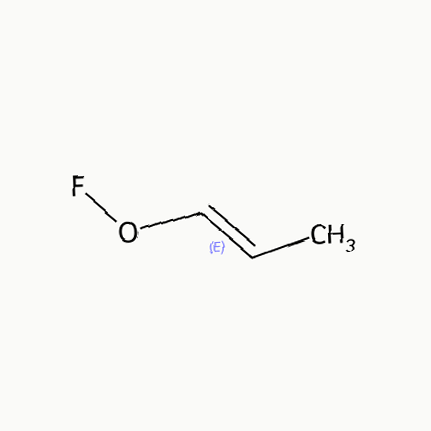 C/C=C/OF